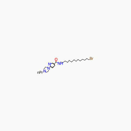 CCCN1CCN(c2ccc(C(=O)NCCCCCCCCCCCCCCBr)cn2)CC1